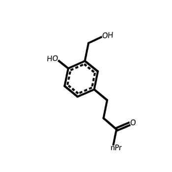 CCCC(=O)CCc1ccc(O)c(CO)c1